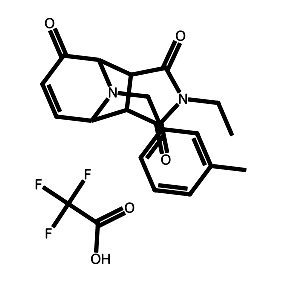 CCN1C(=O)C2C(C1=O)C1C(=O)C=CC2N1Cc1cccc(C)c1.O=C(O)C(F)(F)F